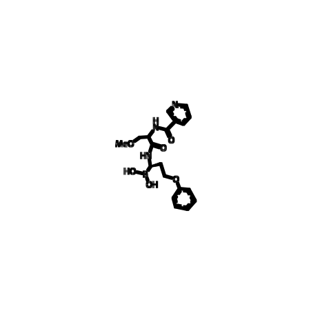 COCC(NC(=O)c1cccnc1)C(=O)N[C@@H](CCOc1ccccc1)B(O)O